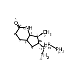 C[C@@H]1C2NC(=O)CCC2C[C@@H]1P(P)PP